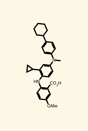 COc1ccc(Nc2ccc(N(C)c3ccc(C4CCCCC4)cc3)cc2C2CC2)c(C(=O)O)c1